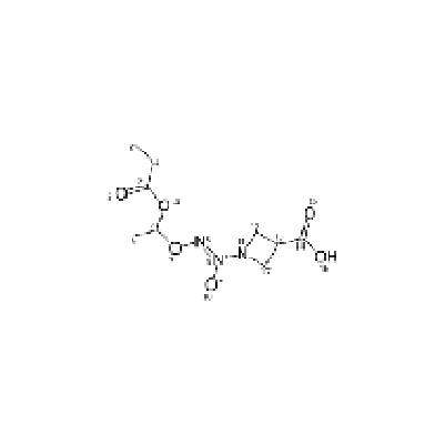 CCC(=O)OC(C)ON=[N+]([O-])N1CC(C(=O)O)C1